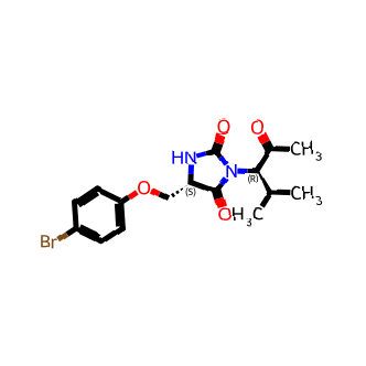 CC(=O)[C@@H](C(C)C)N1C(=O)N[C@@H](COc2ccc(Br)cc2)C1=O